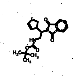 CC(C)(C)OC(=O)NCC(C1C=CSC1)N1C(=O)c2ccccc2C1=O